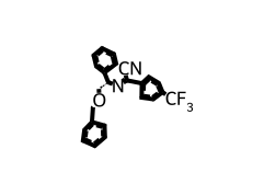 N#C/C(=N\[C@H](COCc1ccccc1)c1ccccc1)c1ccc(C(F)(F)F)cc1